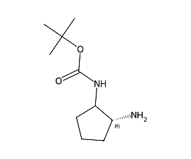 CC(C)(C)OC(=O)NC1CCC[C@H]1N